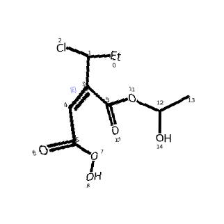 CCC(Cl)/C(=C/C(=O)OO)C(=O)OC(C)O